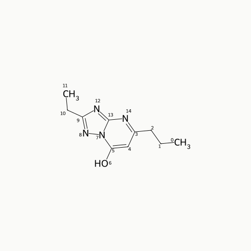 CCCc1cc(O)n2nc(CC)nc2n1